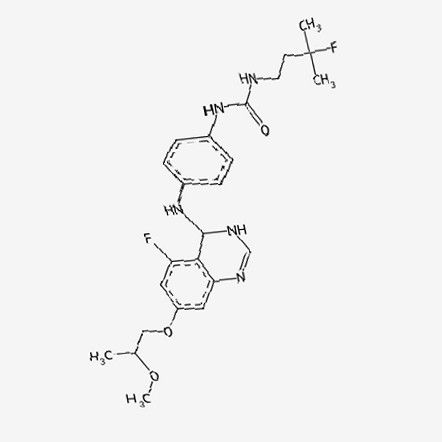 COC(C)COc1cc(F)c2c(c1)N=CNC2Nc1ccc(NC(=O)NCCC(C)(C)F)cc1